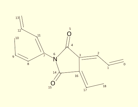 C=C/C=C1/C(=O)N(C(/C=C\C)=C/C=C)C(=O)/C1=C/C